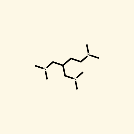 CN(C)CCC(CN(C)C)CN(C)C